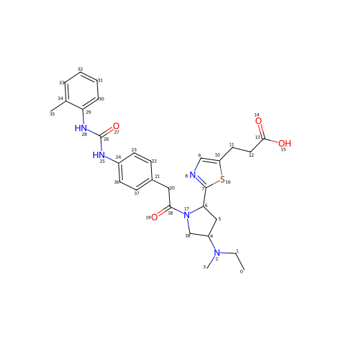 CCN(C)C1CC(c2ncc(CCC(=O)O)s2)N(C(=O)Cc2ccc(NC(=O)Nc3ccccc3C)cc2)C1